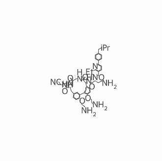 CCc1nc(-c2ccc(CC(C)C)cc2)ccc1C(=O)N[C@@H](CCN)C(=O)N(C)[C@@H]1C(=O)N[C@@H](C)C(=O)N[C@H](C(=O)NCC#N)Cc2ccc(OCCN)c(c2)-c2cc1ccc2OCCN